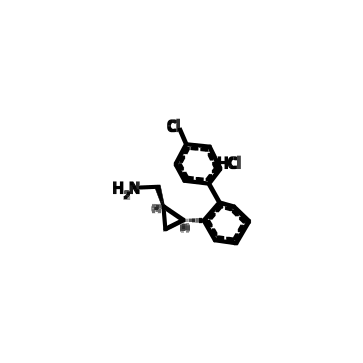 Cl.NC[C@@H]1C[C@H]1c1ccccc1-c1ccc(Cl)cc1